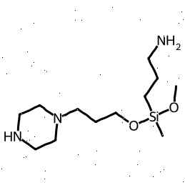 CO[Si](C)(CCCN)OCCCN1CCNCC1